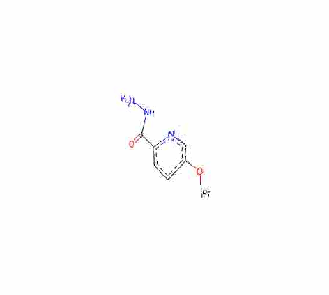 CC(C)Oc1ccc(C(=O)NN)nc1